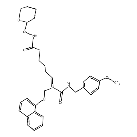 O=C(CCCC/C=C(\COc1cccc2ccccc12)C(=O)NCc1ccc(OC(F)(F)F)cc1)NOC1CCCCO1